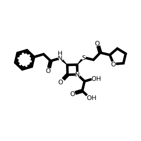 O=C(Cc1ccccc1)N[C@@H]1C(=O)N(C(O)C(=O)O)[C@@H]1SCC(=O)C1CCCO1